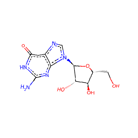 Nc1nc2c(ncn2[C@H]2O[C@H](CO)[C@@H](O)[C@@H]2O)c(=O)[nH]1